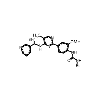 CCCC(Nc1nc(-c2ccc(NC(=O)NCC)c(OC)c2)ncc1C)c1cccnc1